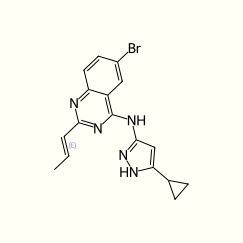 C/C=C/c1nc(Nc2cc(C3CC3)[nH]n2)c2cc(Br)ccc2n1